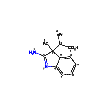 CCCC(C(=O)O)C1(C(C)=O)C(N)=Nc2ccccc21